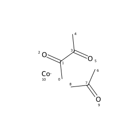 CC(=O)C(C)=O.CC(C)=O.[Co]